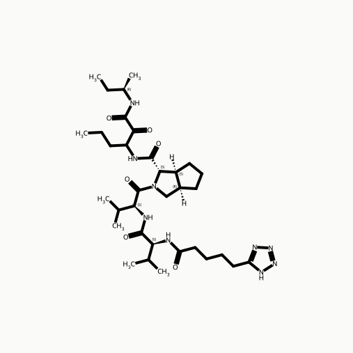 CCCC(NC(=O)[C@@H]1[C@H]2CCC[C@H]2CN1C(=O)[C@@H](NC(=O)[C@@H](NC(=O)CCCCc1nnn[nH]1)C(C)C)C(C)C)C(=O)C(=O)N[C@H](C)CC